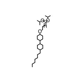 CCCCCCCC1CCC(C2CCC(OCCC[SiH](OC(C)C)OC(C)C)CC2)CC1